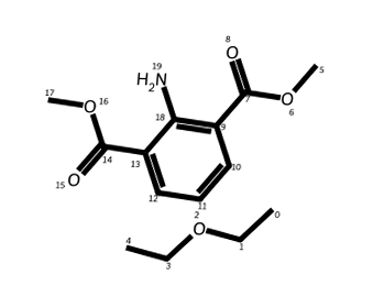 CCOCC.COC(=O)c1cccc(C(=O)OC)c1N